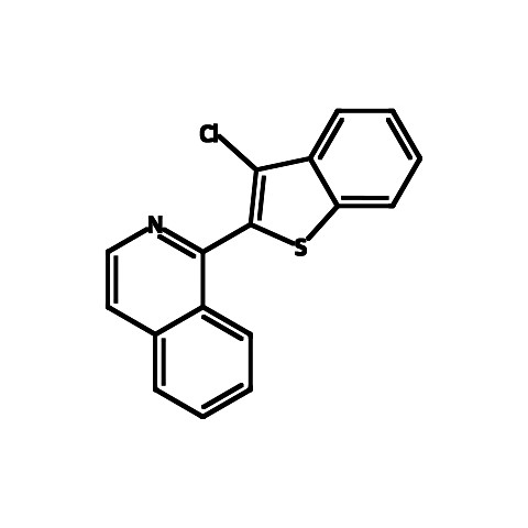 Clc1c(-c2nccc3ccccc23)sc2ccccc12